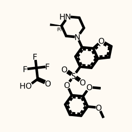 COc1cccc(OS(=O)(=O)c2cc(N3CCN[C@H](C)C3)c3occc3c2)c1OC.O=C(O)C(F)(F)F